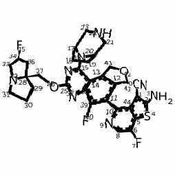 N#Cc1c(N)sc2c(F)cnc(-c3c4c(c5c(N6C7CCC6CNC7)nc(OC[C@@]67CCCN6C[C@@H](F)C7)nc5c3F)COC4)c12